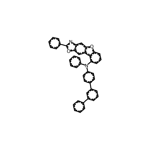 c1ccc(-c2cccc(-c3ccc(N(c4ccccc4)c4cccc5oc6cc7nc(-c8ccccc8)oc7cc6c45)cc3)c2)cc1